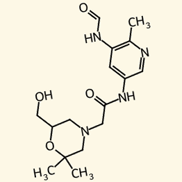 Cc1ncc(NC(=O)CN2CC(CO)OC(C)(C)C2)cc1NC=O